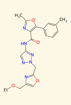 CCOCc1coc(Cn2ncc(NC(=O)c3nc(C)oc3-c3cccc(C)c3)n2)n1